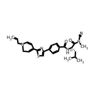 C=CCN1C=CC(c2nc(-c3ccc(C(=O)N[C@@H](CC(C)C)C(=O)N(C)C#N)cc3)cs2)=CC1